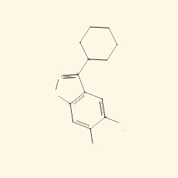 Oc1cc2onc(C3CCCCC3)c2cc1O